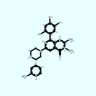 Cc1cc([C@H]2CN(c3cc4c(=O)n(C)c(C)nc4c(-c4cc(F)c(F)cc4F)n3)CCO2)ccn1